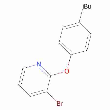 CCC(C)c1ccc(Oc2ncccc2Br)cc1